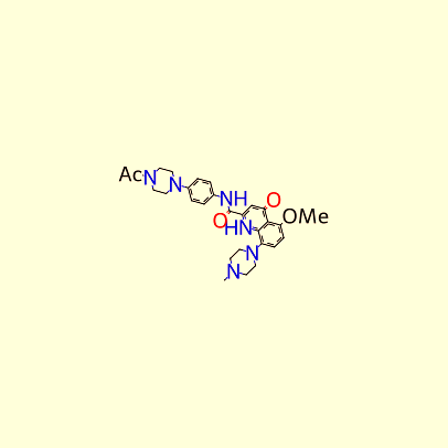 COc1ccc(N2CCN(C)CC2)c2[nH]c(C(=O)Nc3ccc(N4CCN(C(C)=O)CC4)cc3)cc(=O)c12